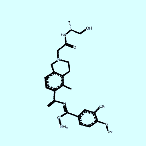 C=C(/N=C(\ON)c1ccc(OC(C)C)c(C#N)c1)c1ccc2c(c1C)CCN(CC(=O)N[C@H](C)CO)C2